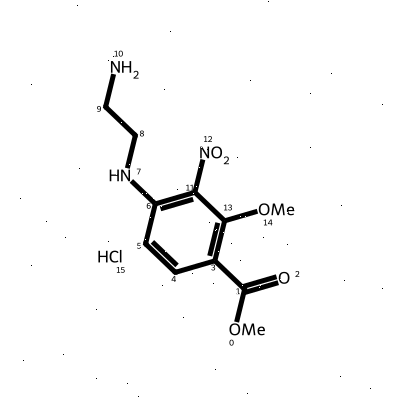 COC(=O)c1ccc(NCCN)c([N+](=O)[O-])c1OC.Cl